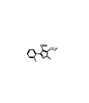 COc1c(-c2ccccc2C)nn(C)c1C(=O)O